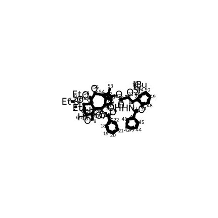 CC[Si](CC)(CC)OC1C[C@H]2OC[C@@]2(OC(C)=O)[C@H]2[C@H](OC(=O)c3ccccc3)[C@]3(O)CC(OC(=O)[C@H](O[Si](C)(C)C(C)(C)C)[C@@H](NC(=O)c4ccccc4)c4ccccc4)C(C)=C(C(=O)C(=O)[C@]12C)C3(C)C